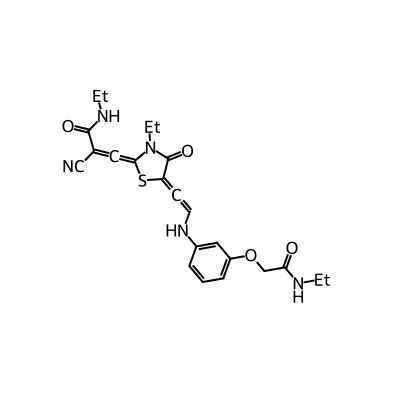 CCNC(=O)COc1cccc(NC=C=c2sc(=C=C(C#N)C(=O)NCC)n(CC)c2=O)c1